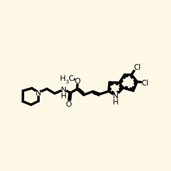 COC(=CC=Cc1cc2cc(Cl)c(Cl)cc2[nH]1)C(=O)NCCN1CCCCC1